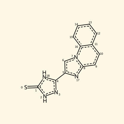 S=c1[nH]nc(-c2cn3c(ccc4ccccc43)n2)[nH]1